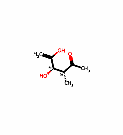 C=C(O)[C@H](O)[C@@H](C)C(C)=O